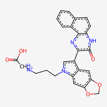 CC(=O)O.NCCCn1cc(-c2nc3c(ccc4ccccc43)[nH]c2=O)c2cc3c(cc21)OCO3